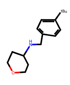 CC(C)(C)c1ccc(CNC2CCOCC2)cc1